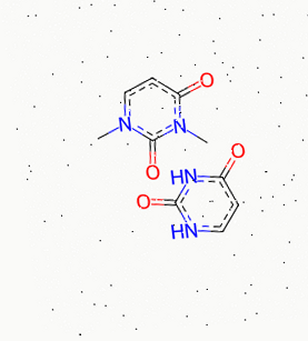 Cn1ccc(=O)n(C)c1=O.O=c1cc[nH]c(=O)[nH]1